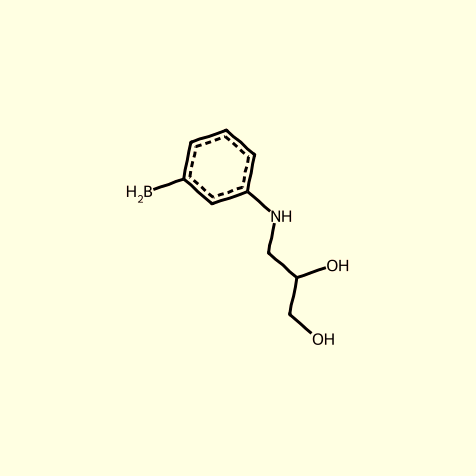 Bc1cccc(NCC(O)CO)c1